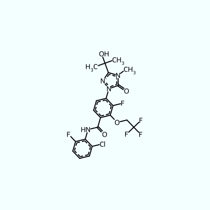 Cn1c(C(C)(C)O)nn(-c2ccc(C(=O)Nc3c(F)cccc3Cl)c(OCC(F)(F)F)c2F)c1=O